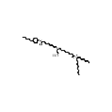 CCCCCCCCC(CCCCCC)OC(=O)CCCCCCCN(CCO)CCCCCCCC(=O)OC1CCC(CCCCC)CC1